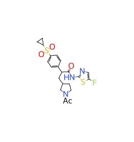 CC(=O)N1CCC(CC(C(=O)Nc2ncc(F)s2)c2ccc(S(=O)(=O)C3CC3)cc2)C1